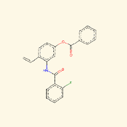 C=Cc1ccc(OC(=O)c2ccccc2)cc1NC(=O)c1ccccc1F